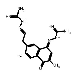 CC1=CC(=NNC(=N)N)c2cc(CC=NNC(=N)N)ccc2C1=O.Cl